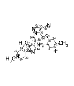 CC1=C(F)C=C(C#N)C(SC2CC(c3cnn(C4CCN(C)CC4)c3C)=Cn3ncc(C#N)c32)C1